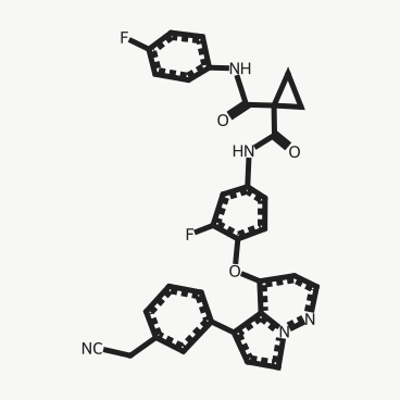 N#CCc1cccc(-c2ccn3nccc(Oc4ccc(NC(=O)C5(C(=O)Nc6ccc(F)cc6)CC5)cc4F)c23)c1